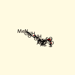 CNC(=O)CCNC(=O)CCc1ccc(NC(=O)COCC(=O)NCC(NC(=O)CCSC2CC(=O)N(CCC(=O)C3SS3)C2=O)C(=O)C(C(C)=O)(C(C)=O)C(C)=O)cc1